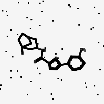 Cc1cccc(-c2ccc(C(=O)N[C@@H]3C[C@@H]4CCN(C4)C3)s2)c1